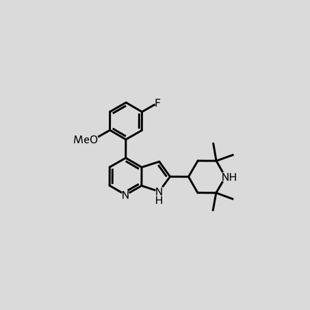 COc1ccc(F)cc1-c1ccnc2[nH]c(C3CC(C)(C)NC(C)(C)C3)cc12